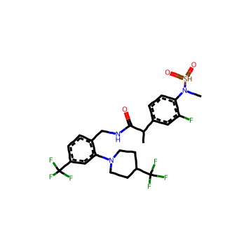 CC(C(=O)NCc1ccc(C(F)(F)F)cc1N1CCC(C(F)(F)F)CC1)c1ccc(N(C)[SH](=O)=O)c(F)c1